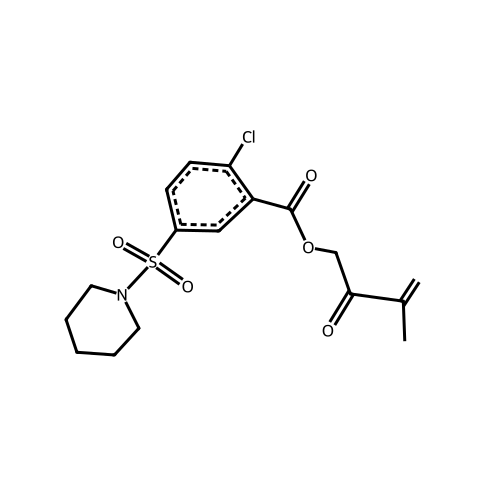 C=C(C)C(=O)COC(=O)c1cc(S(=O)(=O)N2CCCCC2)ccc1Cl